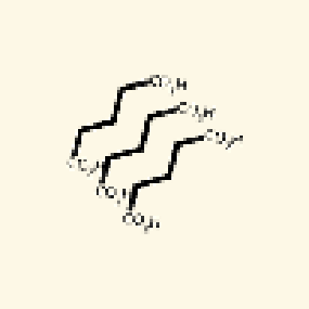 O=C(O)CCCC(=O)O.O=C(O)CCCC(=O)O.O=C(O)CCCC(=O)O